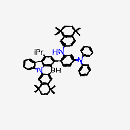 CC(C)c1cc(-c2ccc(N(c3ccccc3)c3ccccc3)cc2Nc2ccc3c(c2)C(C)(C)CCC3(C)C)c2c3c1c1ccccc1n3-c1cc3c(cc1B2)C(C)(C)CCC3(C)C